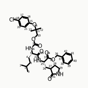 CC(C)CC[C@H](NC(=O)OCC(C)(C)Oc1ccc(Cl)cc1)C(=O)N[C@@H](CC1CCNC1=O)C(=O)OCc1ccccc1